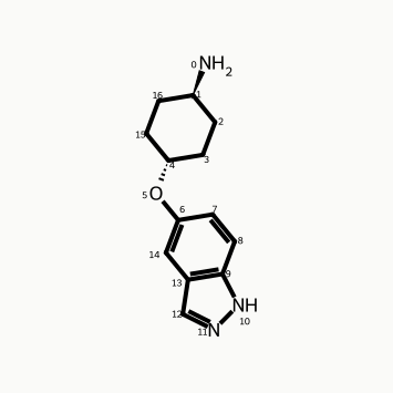 N[C@H]1CC[C@H](Oc2ccc3[nH]ncc3c2)CC1